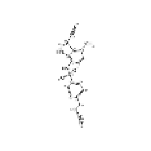 Cc1ccc(NS(=O)(=O)c2ccc(CN=[N+]=[N-])cc2)c2[nH]cc(C#N)c12